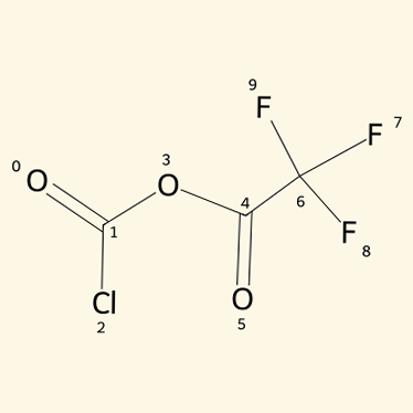 O=C(Cl)OC(=O)C(F)(F)F